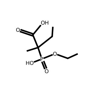 CCOP(=O)(O)C(C)(CC)C(=O)O